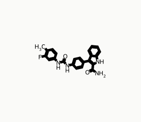 Cc1ccc(NC(=O)Nc2ccc(-c3c(C(N)=O)[nH]c4ccccc34)cc2)cc1F